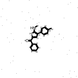 CNc1sc(C(=O)c2ccccc2)cc1-c1ccc(C)cc1